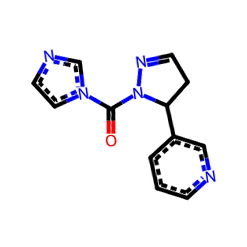 O=C(N1N=CCC1c1cccnc1)n1ccnc1